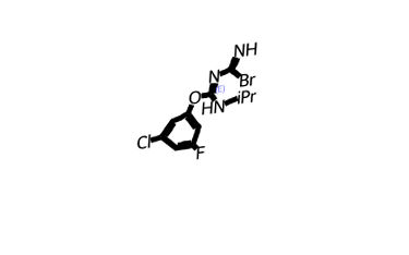 CC(C)N/C(=N\C(=N)Br)Oc1cc(F)cc(Cl)c1